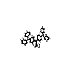 CC(=O)C(c1ccc(N(c2ccccc2)c2ccccc2)cc1)c1ccc(N(c2ccccc2)c2ccccc2)cc1